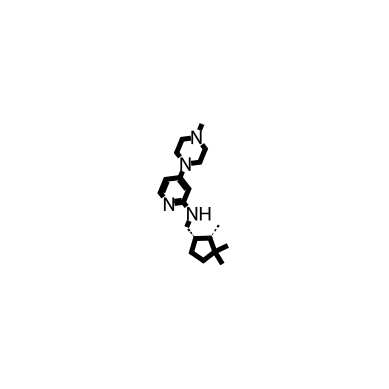 C[C@H]1[C@@H](CNc2cc(N3CCN(C)CC3)ccn2)CCC1(C)C